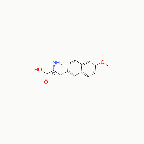 COc1ccc2cc(C[C@H](N)C(=O)O)ccc2c1